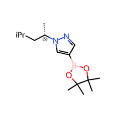 CC(C)C[C@H](C)n1cc(B2OC(C)(C)C(C)(C)O2)cn1